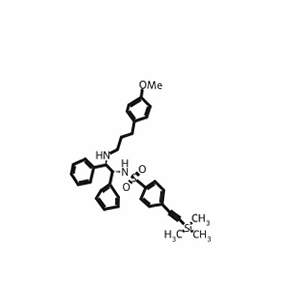 COc1ccc(CCCN[C@@H](c2ccccc2)[C@H](NS(=O)(=O)c2ccc(C#C[Si](C)(C)C)cc2)c2ccccc2)cc1